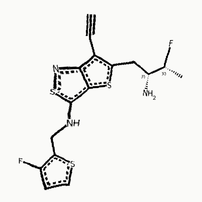 C#Cc1c(C[C@@H](N)[C@@H](C)F)sc2c(NCc3sccc3F)snc12